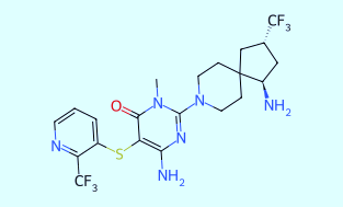 Cn1c(N2CCC3(CC2)C[C@H](C(F)(F)F)C[C@H]3N)nc(N)c(Sc2cccnc2C(F)(F)F)c1=O